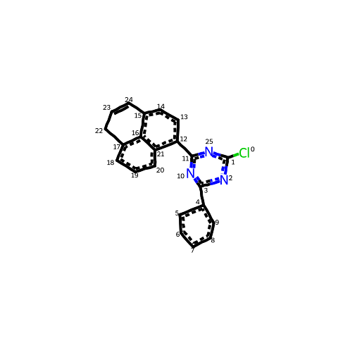 Clc1nc(-c2ccccc2)nc(-c2ccc3c4c(cccc24)CC=C3)n1